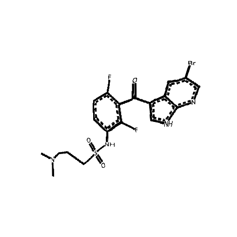 CN(C)CCS(=O)(=O)Nc1ccc(F)c(C(=O)c2c[nH]c3ncc(Br)cc23)c1F